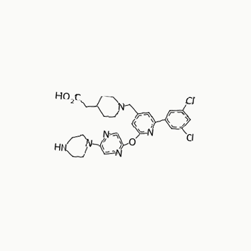 O=C(O)CC1CCN(Cc2cc(Oc3cnc(N4CCNCC4)cn3)nc(-c3cc(Cl)cc(Cl)c3)c2)CC1